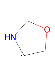 [CH]1COCN1